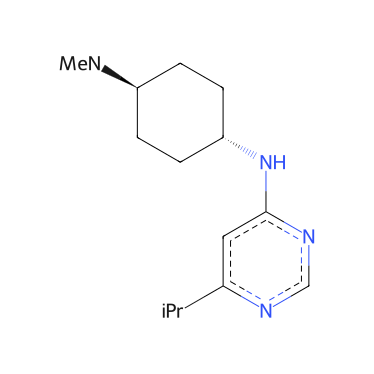 CN[C@H]1CC[C@H](Nc2cc(C(C)C)ncn2)CC1